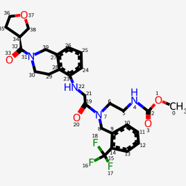 COC(=O)NCCN(Cc1ccccc1C(F)(F)F)C(=O)CNc1cccc2c1CCN(C(=O)[C@H]1CCOC1)C2